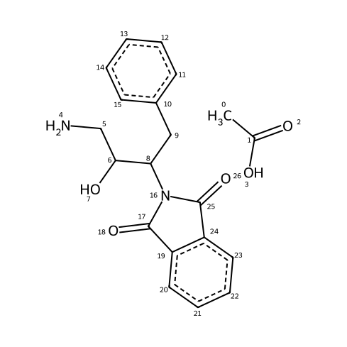 CC(=O)O.NCC(O)C(Cc1ccccc1)N1C(=O)c2ccccc2C1=O